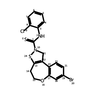 S=C(Nc1ccccc1Cl)N1CC2=C(CCOc3cc(Br)ccc32)S1